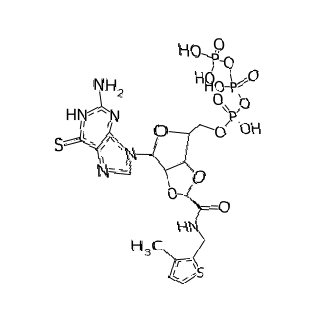 Cc1ccsc1CNC(=O)[C@@H]1OC2C(COP(=O)(O)OP(=O)(O)OP(=O)(O)O)OC(n3cnc4c(=S)[nH]c(N)nc43)C2O1